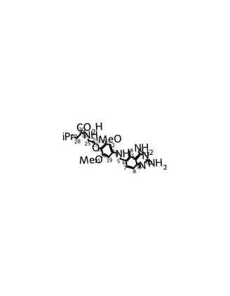 COc1cc(NCc2ccc3nc(N)nc(N)c3c2C)cc(OC)c1OCCN[C@@H](CC(C)C)C(=O)O